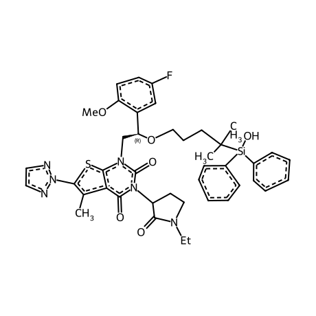 CCN1CCC(n2c(=O)c3c(C)c(-n4nccn4)sc3n(C[C@H](OCCCC(C)(C)[Si](O)(c3ccccc3)c3ccccc3)c3cc(F)ccc3OC)c2=O)C1=O